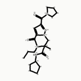 CCCN1C(=O)c2cc(C(=O)N3CCCC3)nn2CC1(C)C(=O)NC1CCCC1